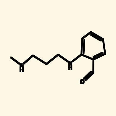 CNCCCNc1ccccc1C=O